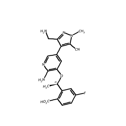 C[C@@H](Oc1cc(-c2c(CN)nn(C)c2C#N)cnc1N)c1cc(F)ccc1C(=O)O